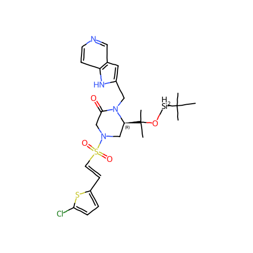 CC(C)(C)[SiH2]OC(C)(C)[C@H]1CN(S(=O)(=O)C=Cc2ccc(Cl)s2)CC(=O)N1Cc1cc2cnccc2[nH]1